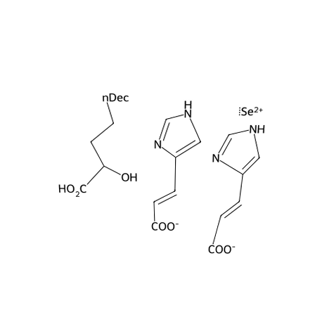 CCCCCCCCCCCCC(O)C(=O)O.O=C([O-])C=Cc1c[nH]cn1.O=C([O-])C=Cc1c[nH]cn1.[Se+2]